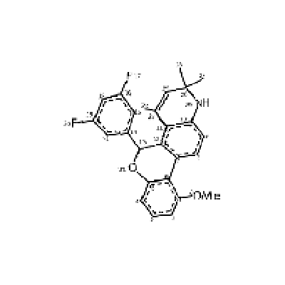 COc1cccc2c1-c1ccc3c(c1C(c1cc(F)cc(F)c1)O2)C(C)=CC(C)(C)N3